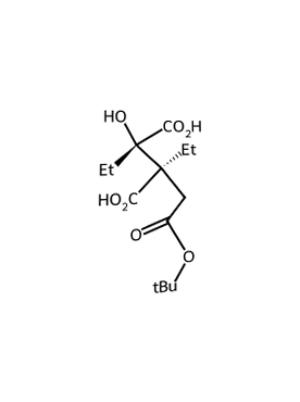 CC[C@](CC(=O)OC(C)(C)C)(C(=O)O)[C@@](O)(CC)C(=O)O